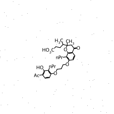 CCCc1c(OCCCOc2ccc3c(c2CCC)OC(C)(C(C)CCC(=O)O)CC3=O)ccc(C(C)=O)c1O